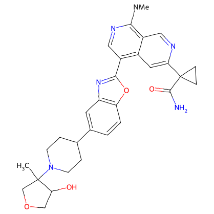 CNc1ncc(-c2nc3cc(C4CCN(C5(C)COCC5O)CC4)ccc3o2)c2cc(C3(C(N)=O)CC3)ncc12